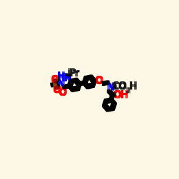 CC(C)Nc1cc(-c2ccc(OCCN(C[C@H](O)c3ccccc3)C(=O)O)cc2)ccc1C(=O)NS(C)(=O)=O